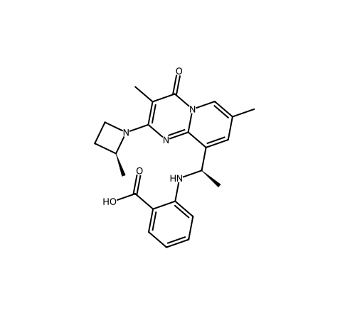 Cc1cc([C@@H](C)Nc2ccccc2C(=O)O)c2nc(N3CC[C@@H]3C)c(C)c(=O)n2c1